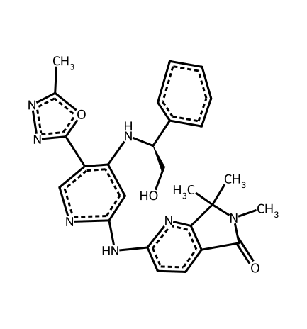 Cc1nnc(-c2cnc(Nc3ccc4c(n3)C(C)(C)N(C)C4=O)cc2N[C@H](CO)c2ccccc2)o1